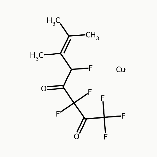 CC(C)=C(C)C(F)C(=O)C(F)(F)C(=O)C(F)(F)F.[Cu]